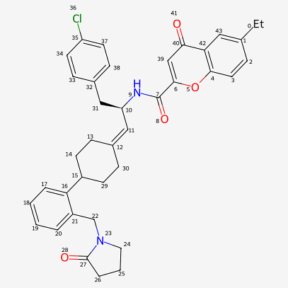 CCc1ccc2oc(C(=O)N[C@@H](C=C3CCC(c4ccccc4CN4CCCC4=O)CC3)Cc3ccc(Cl)cc3)cc(=O)c2c1